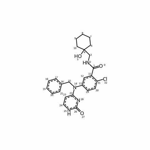 O=C(NCC1(O)CCCCC1)c1cc(N(Cc2ccccc2)c2cc[nH]c(=O)n2)ccc1Cl